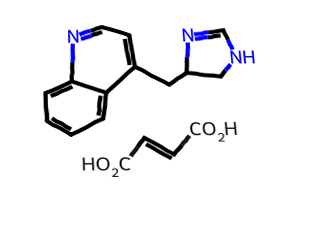 C1=NC(Cc2ccnc3ccccc23)CN1.O=C(O)C=CC(=O)O